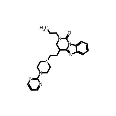 CCCN1CC(CCN2CCN(c3ncccn3)CC2)c2nc3ccccc3n2C1=O